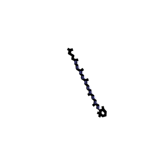 CC(C)=CCC/C(C)=C/C=C/C(C)=C/C=C/C(C)=C/C=C/C=C(C)/C=C/C=C(C)/C=C/[C@H]1C(C)=CCCC1(C)C